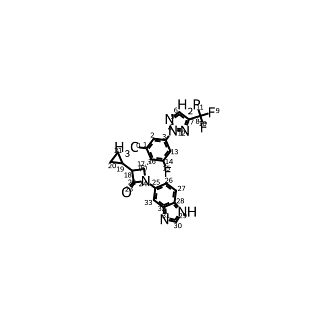 Cc1cc(-n2ncc(C(F)(F)P)n2)cc(F)c1[C@H]1C(C2CC2)C(=O)N1c1ccc2[nH]cnc2c1